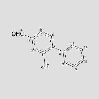 CCc1cc(C=O)ccc1-c1ccccc1